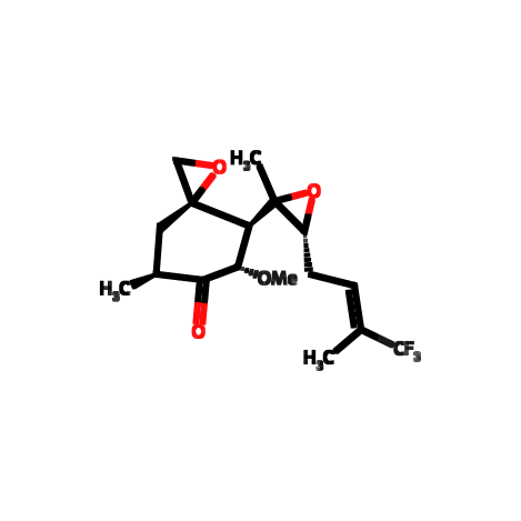 CO[C@@H]1C(=O)[C@@H](C)C[C@]2(CO2)[C@H]1C1(C)O[C@@H]1C/C=C(\C)C(F)(F)F